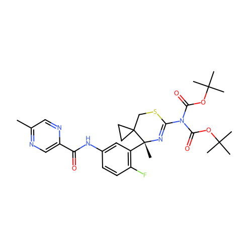 Cc1cnc(C(=O)Nc2ccc(F)c([C@@]3(C)N=C(N(C(=O)OC(C)(C)C)C(=O)OC(C)(C)C)SCC34CC4)c2)cn1